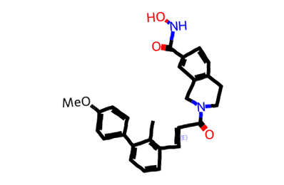 COc1ccc(-c2cccc(/C=C/C(=O)N3CCc4ccc(C(=O)NO)cc4C3)c2C)cc1